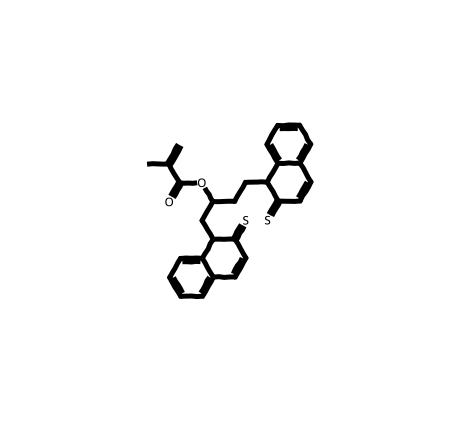 C=C(C)C(=O)OC(CCC1C(=S)C=Cc2ccccc21)CC1C(=S)C=Cc2ccccc21